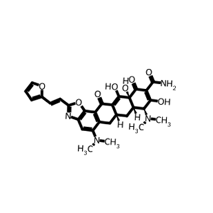 CN(C)c1cc2nc(/C=C/c3ccco3)oc2c2c1C[C@H]1C[C@H]3[C@H](N(C)C)C(O)=C(C(N)=O)C(=O)[C@@]3(O)C(O)=C1C2=O